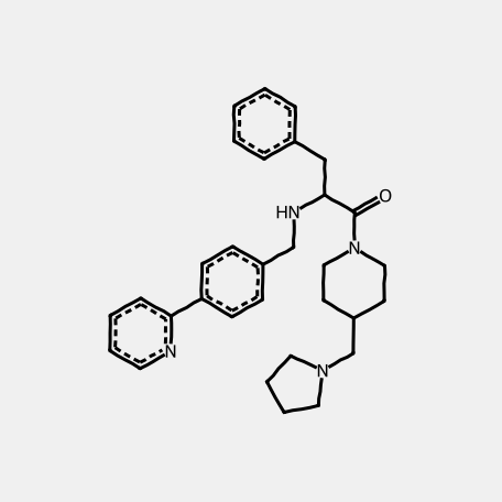 O=C(C(Cc1ccccc1)NCc1ccc(-c2ccccn2)cc1)N1CCC(CN2CCCC2)CC1